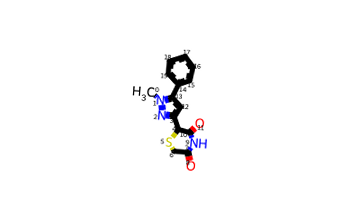 Cn1nc(C2SCC(=O)NC2=O)cc1-c1ccccc1